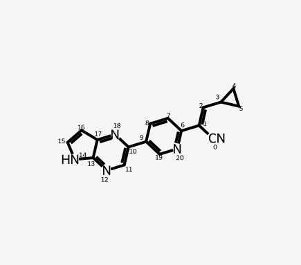 N#CC(=CC1CC1)c1ccc(-c2cnc3[nH]ccc3n2)cn1